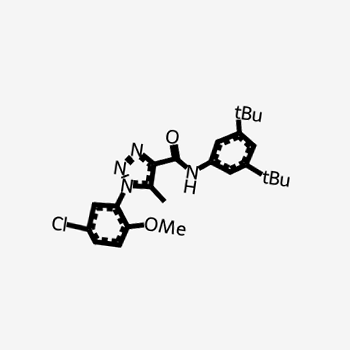 COc1ccc(Cl)cc1-n1nnc(C(=O)Nc2cc(C(C)(C)C)cc(C(C)(C)C)c2)c1C